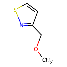 [CH2]OCc1ccsn1